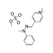 CN(/N=C/c1cc[n+](C)cc1)c1ccccc1.COS(=O)(=O)[O-]